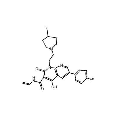 C=CNC(=O)c1c(O)c2cc(-c3ccc(F)cc3)cnc2n(CCN2CCC(F)CC2)c1=O